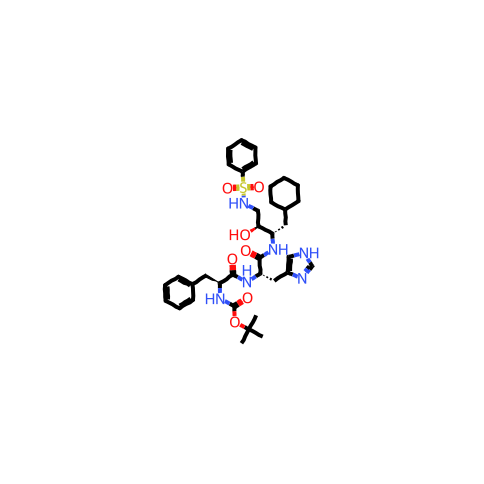 CC(C)(C)OC(=O)N[C@@H](Cc1ccccc1)C(=O)N[C@@H](Cc1c[nH]cn1)C(=O)N[C@@H](CC1CCCCC1)[C@@H](O)CNS(=O)(=O)c1ccccc1